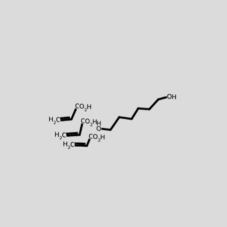 C=CC(=O)O.C=CC(=O)O.C=CC(=O)O.OCCCCCCO